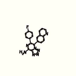 Nc1nc(-c2ccc(F)cc2)c(-c2ccc3ncccc3c2)n2nnnc12